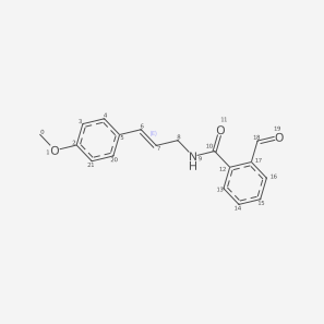 COc1ccc(/C=C/CNC(=O)c2ccccc2C=O)cc1